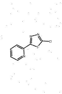 Clc1nnc(-c2ccccn2)s1